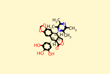 Cc1nc(C)c(C)[n+]([C@@H]2c3cc4c(cc3[C@@H](c3cc(O)c(O)c(O)c3)[C@H]3C(=O)OC[C@@H]32)OCO4)c1C